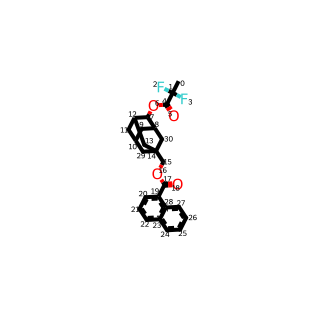 CC(F)(F)C(=O)OC1C2CC3CC1CC(COC(=O)c1cccc4ccccc14)(C3)C2